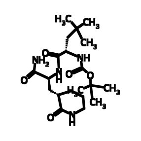 CC(C)(C)C[C@H](NC(=O)OC(C)(C)C)C(=O)N[C@@H](C[C@@H]1CCCNC1=O)C(N)=O